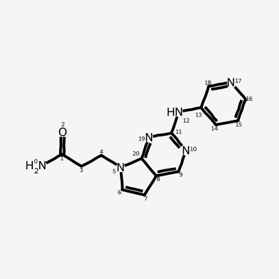 NC(=O)CCn1ccc2cnc(Nc3cccnc3)nc21